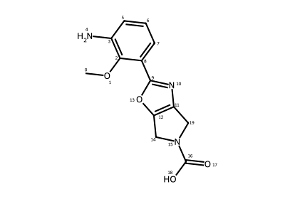 COc1c(N)cccc1-c1nc2c(o1)CN(C(=O)O)C2